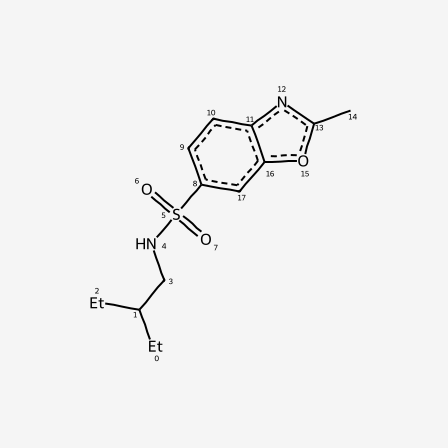 CCC(CC)CNS(=O)(=O)c1ccc2nc(C)oc2c1